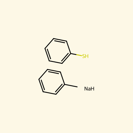 Cc1ccccc1.Sc1ccccc1.[NaH]